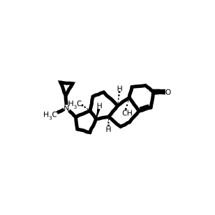 CN(C1CC1)C1CC[C@H]2[C@@H]3CCC4=CC(=O)CC[C@]4(C)[C@@H]3CC[C@]12C